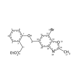 CCOC(=O)Cc1ccccc1OCc1cc(Br)c2oc(C)nc2c1